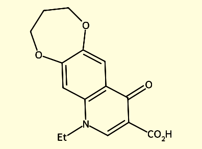 CCn1cc(C(=O)O)c(=O)c2cc3c(cc21)OCCCO3